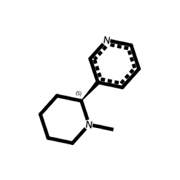 CN1CCCC[C@H]1c1cccnc1